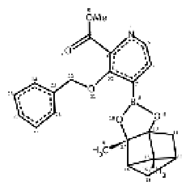 COC(=O)c1nccc(B2OC34CC5CC(C53C)[C@]4(C)O2)c1OCc1ccccc1